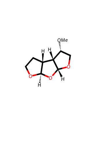 CO[C@@H]1CO[C@@H]2O[C@H]3OCC[C@@H]3[C@@H]21